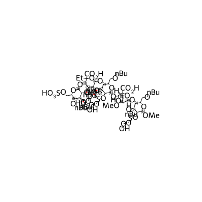 CCCCOCC1O[C@H](OC)C(OSOOO)[C@@H](OCCCC)[C@@H]1O[C@@H]1OC2(C(=O)O)COC1[C@@H](OC)[C@@H]2O[C@@H]1OC(COCCCC)[C@@H](O[C@@H]2OC(CC)(C(=O)O)[C@@H](O[C@@H]3OC(COS(=O)(=O)O)[C@@H](OCCCC)[C@H](OCCCC)C3OCCCC)[C@H](OC)C2OCCCC)[C@H](OSOOO)C1OSOOO